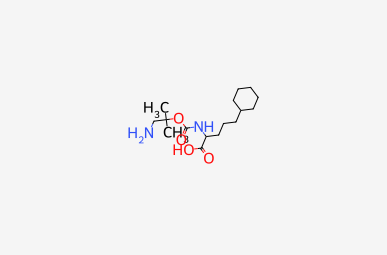 CC(C)(CN)OC(=O)NC(CCCC1CCCCC1)C(=O)O